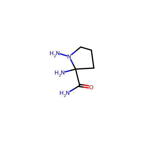 NC(=O)C1(N)CCCN1N